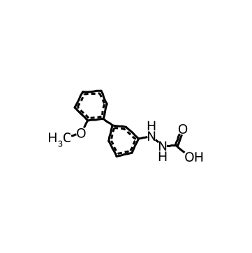 COc1ccccc1-c1cccc(NNC(=O)O)c1